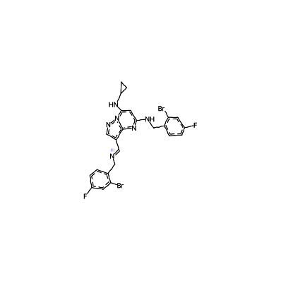 Fc1ccc(C/N=C/c2cnn3c(NC4CC4)cc(NCc4ccc(F)cc4Br)nc23)c(Br)c1